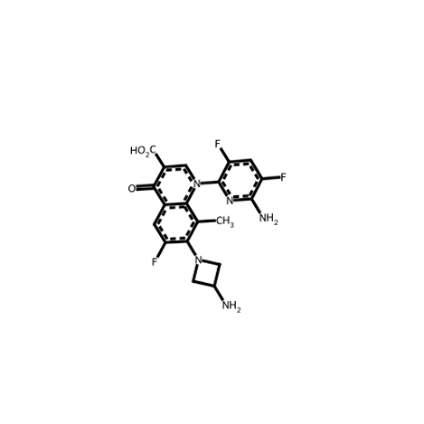 Cc1c(N2CC(N)C2)c(F)cc2c(=O)c(C(=O)O)cn(-c3nc(N)c(F)cc3F)c12